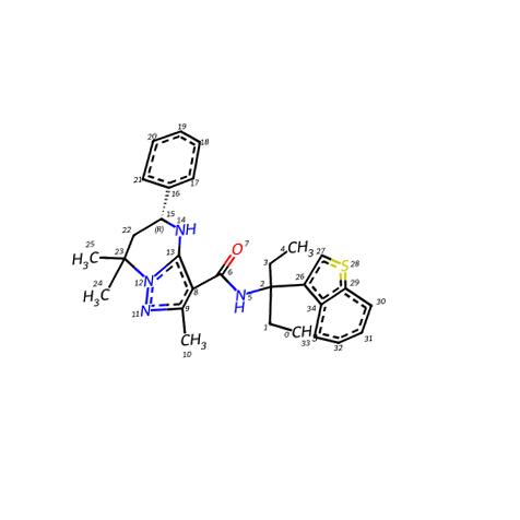 CCC(CC)(NC(=O)c1c(C)nn2c1N[C@@H](c1ccccc1)CC2(C)C)c1csc2ccccc12